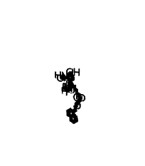 O=C(O[C@@H](CNCCCS(=O)(=O)CCOCCc1cccc2ccccc12)c1ccc(O)c2[nH]c(=O)sc12)C(F)(F)F